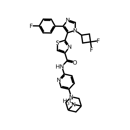 CN1C2CC1CN(c1ccc(NC(=O)c3csc(-c4c(-c5ccc(F)cc5)ncn4C4CC(F)(F)C4)n3)nc1)C2